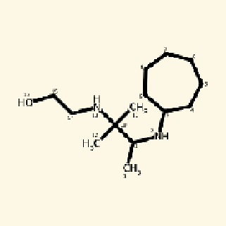 CC(NC1CCCCCC1)C(C)(C)NCCO